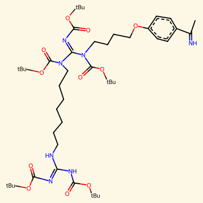 CC(=N)c1ccc(OCCCCN(C(=O)OC(C)(C)C)/C(=N\C(=O)OC(C)(C)C)N(CCCCCCCN/C(=N\C(=O)OC(C)(C)C)NC(=O)OC(C)(C)C)C(=O)OC(C)(C)C)cc1